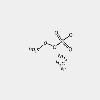 N.O.O=S(=O)([O-])OOS(=O)(=O)O.[K+]